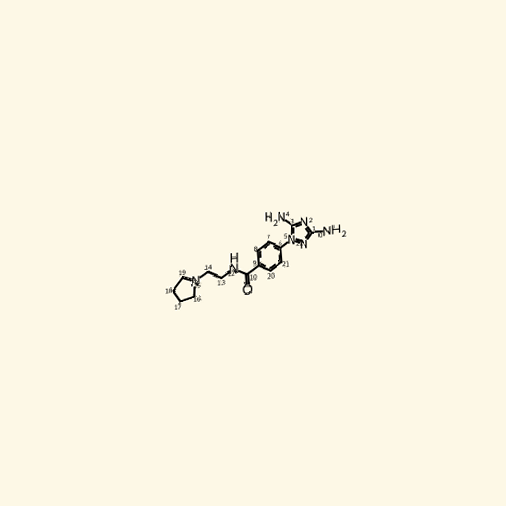 Nc1nc(N)n(-c2ccc(C(=O)NCCN3CCCC3)cc2)n1